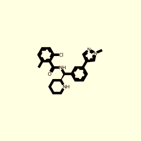 Cc1cccc(Cl)c1C(=O)NC(c1cccc(-c2cnn(C)c2)c1)[C@@H]1CCCCN1